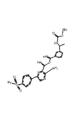 CC(NC(=O)OC(C)(C)C)c1cccc(C(=N)OC(=N)c2nc(-c3ccc(S(=O)(=O)C(C)C)cc3)cnc2N)c1